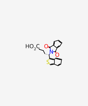 O=C(O)CCC[C@@H](c1scc2ccccc12)N1C(=O)c2ccccc2C1=O